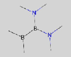 CB(C)B(N(C)C)N(C)C